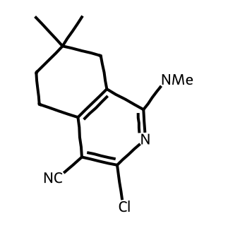 CNc1nc(Cl)c(C#N)c2c1CC(C)(C)CC2